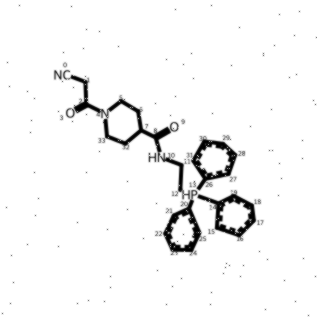 N#CCC(=O)N1CCC(C(=O)NCC[PH](c2ccccc2)(c2ccccc2)c2ccccc2)CC1